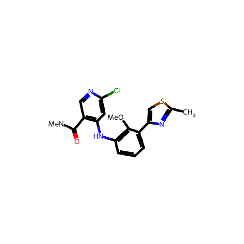 CNC(=O)c1cnc(Cl)cc1Nc1cccc(-c2csc(C)n2)c1OC